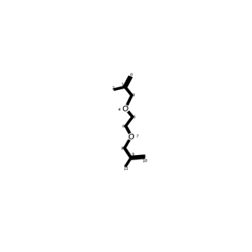 C=C(C)COCCOCC(=C)C